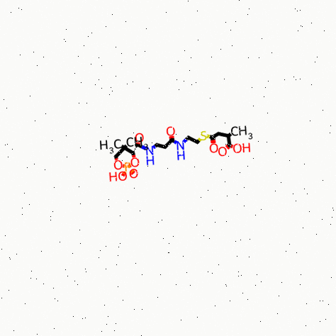 CC(CC(=O)SCCNC(=O)CCNC(=O)[C@@H]1OP(=O)(O)OCC1(C)C)C(=O)O